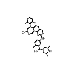 CC1CN(C(=N)c2cc(Nc3ncc4c(n3)C3=CN=C(Cl)C=C(c5c(F)cccc5F)C3=CC4)ccc2F)CC(C)N1